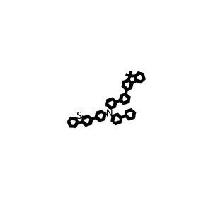 CC1(C)c2ccccc2-c2cc(-c3cccc(-c4cccc(N(c5ccc(-c6ccc7c(c6)sc6ccccc67)cc5)c5cccc(-c6ccccc6)c5)c4)c3)ccc21